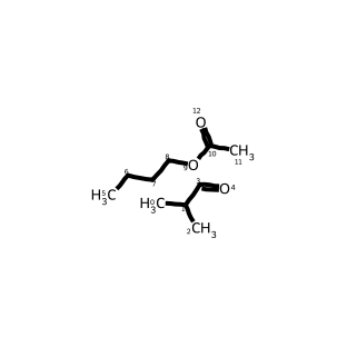 CC(C)C=O.CCCCOC(C)=O